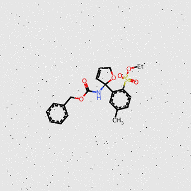 CCOS(=O)(=O)c1ccc(C)cc1[C@]1(NC(=O)OCc2ccccc2)C=CCO1